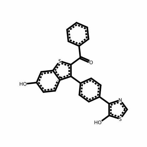 O=C(c1ccccc1)c1sc2cc(O)ccc2c1-c1ccc(-c2ncsc2O)cc1